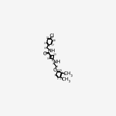 Cc1ccc(OCCNC23CC(C(=O)NCc4ccc(Cl)cc4)(C2)C3)cc1C